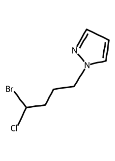 ClC(Br)CCCn1cccn1